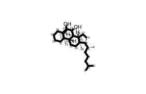 CC(C)CCC[C@@H](C)[C@H]1CC[C@H]2[C@@H]3C(O)C(O)=C4C[CH]CC[C@]4(C)[C@H]3CC[C@]12C